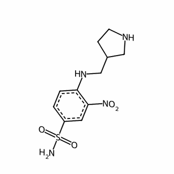 NS(=O)(=O)c1ccc(NCC2CCNC2)c([N+](=O)[O-])c1